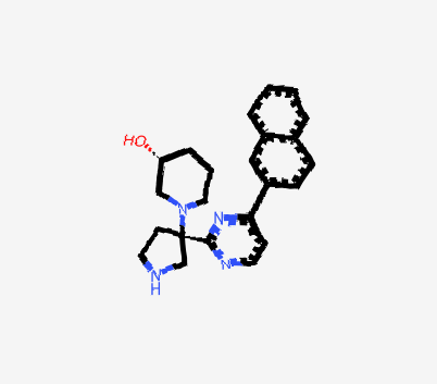 O[C@@H]1CCCN([C@@]2(c3nccc(-c4ccc5ccccc5c4)n3)CCNC2)C1